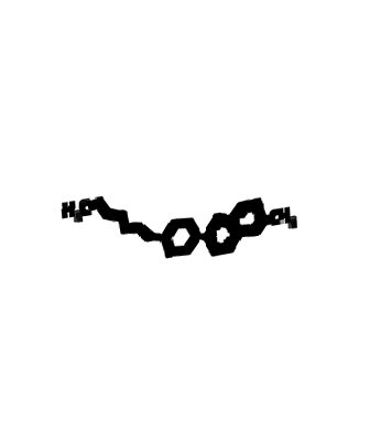 CCCCCCC[C@H]1CC[C@H](c2ccc3cc(C)ccc3c2)CC1